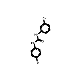 CCc1ccc(NC(=O)Nc2cccc(C#N)c2)cc1